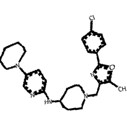 Cc1oc(-c2ccc(Cl)cc2)nc1CN1CCC(Nc2ccc(N3CCCCC3)cn2)CC1